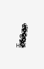 Cn1c2c(c3ccc(-n4ccc(-c5ccc(C(F)(F)F)cn5)cc4=O)cc31)CCCNC2